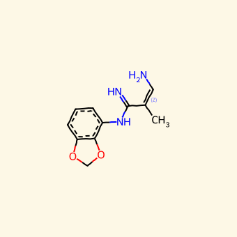 C/C(=C/N)C(=N)Nc1cccc2c1OCO2